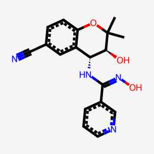 CC1(C)Oc2ccc(C#N)cc2[C@@H](NC(=NO)c2cccnc2)[C@@H]1O